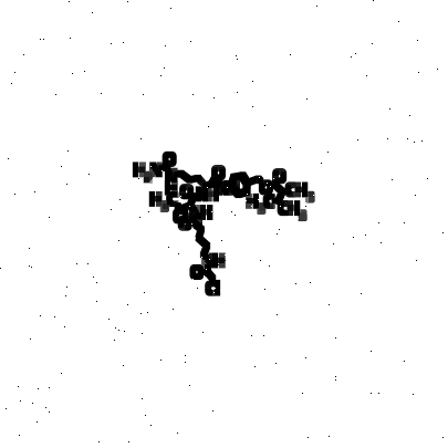 CC(C)C(C)C(=O)OCc1ccc(NC(=O)[C@H](CCCNC(N)=O)NC(=O)C(NC(=O)CCCCNC(=O)CCl)C(C)C)cc1